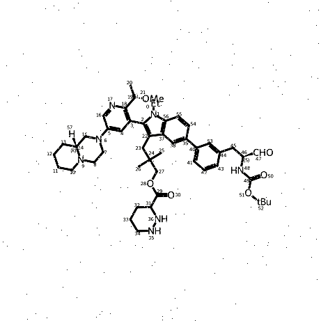 CCn1c(-c2cc(N3CCN4CCCC[C@@H]4C3)cnc2[C@H](C)OC)c(CC(C)(C)COC(=O)C2CCCNN2)c2cc(-c3cccc(C[C@@H](C=O)NC(=O)OC(C)(C)C)c3)ccc21